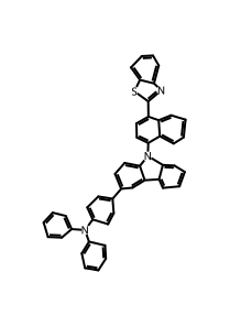 c1ccc(N(c2ccccc2)c2ccc(-c3ccc4c(c3)c3ccccc3n4-c3ccc(-c4nc5ccccc5s4)c4ccccc34)cc2)cc1